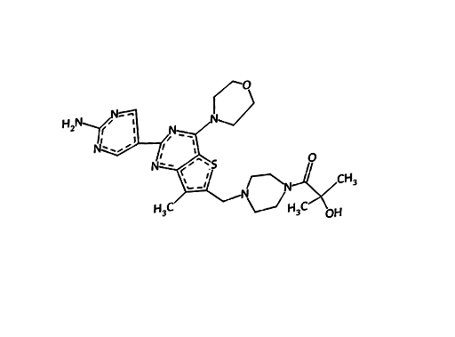 Cc1c(CN2CCN(C(=O)C(C)(C)O)CC2)sc2c(N3CCOCC3)nc(-c3cnc(N)nc3)nc12